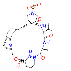 CC(C)[C@@H]1NC(=O)C2(/C=C/c3ccc4ccc(nc4c3)[C@@H](C)OC(=O)[C@@H]3CCCN(N3)C(=O)[C@H](C)NC1=O)CCN(S(C)(=O)=O)CC2